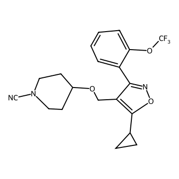 N#CN1CCC(OCc2c(-c3ccccc3OC(F)(F)F)noc2C2CC2)CC1